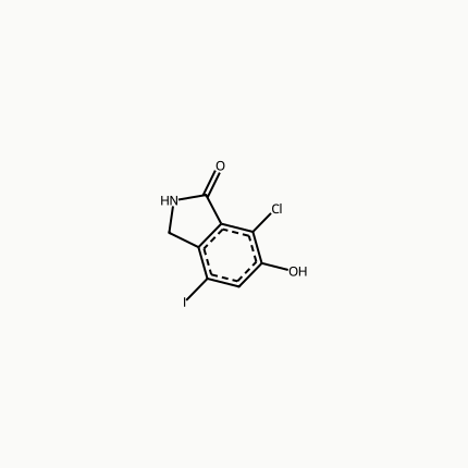 O=C1NCc2c(I)cc(O)c(Cl)c21